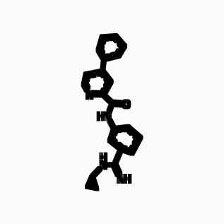 N=C(NC1CC1)c1cccc(NC(=O)c2cc(-c3ccccc3)ccn2)c1